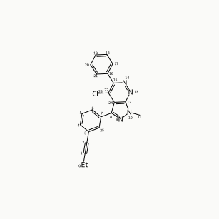 CCC#Cc1cccc(-c2nn(C)c3nnc(-c4ccccc4)c(Cl)c23)c1